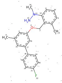 Cc1cc(OCc2c(C)cccc2N(C)N)cc(-c2ccc(F)cc2)c1